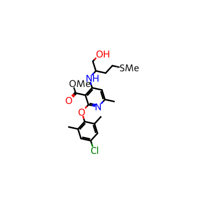 COC(=O)c1c(NC(CO)CCSC)cc(C)nc1Oc1c(C)cc(Cl)cc1C